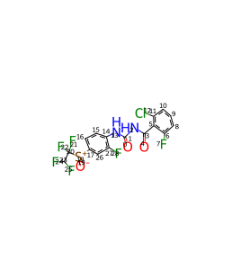 O=C(NC(=O)c1c(F)cccc1Cl)Nc1ccc([S+]([O-])C(F)(F)C(F)F)cc1F